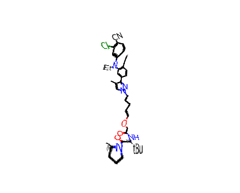 CCN(c1ccc(C#N)c(Cl)c1)c1cc(-c2nn(CCCCCOCC(=O)N[C@H](C(=O)N3CCC[C@H]3C)C(C)(C)C)cc2C)ccc1C